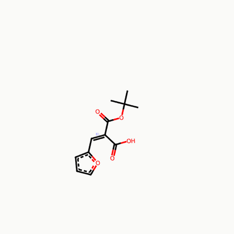 CC(C)(C)OC(=O)/C(=C/c1ccco1)C(=O)O